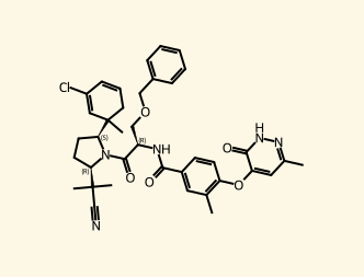 Cc1cc(Oc2ccc(C(=O)N[C@H](COCc3ccccc3)C(=O)N3[C@H](C4(C)C=C(Cl)C=CC4)CC[C@@H]3C(C)(C)C#N)cc2C)c(=O)[nH]n1